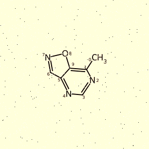 Cc1ncnc2cnoc12